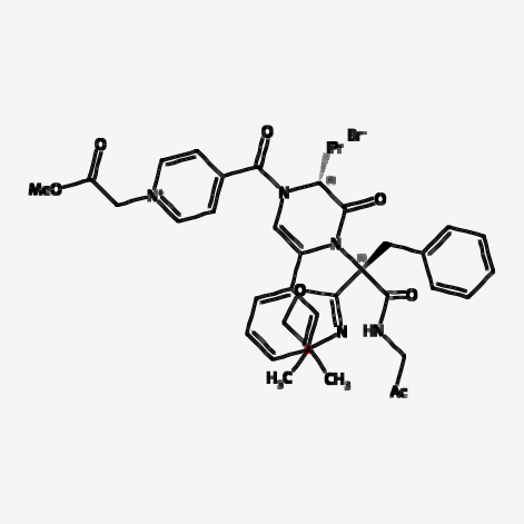 COC(=O)C[n+]1ccc(C(=O)N2C=C(c3ccccc3)N([C@](Cc3ccccc3)(C(=O)NCC(C)=O)C3=NC(C)(C)CO3)C(=O)[C@H]2C(C)C)cc1.[Br-]